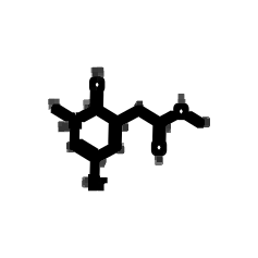 COC(=O)Cc1cc(Br)cn(C)c1=O